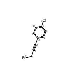 Clc1ccc(C#CCBr)cc1